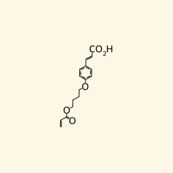 C=CC(=O)OCCCCOc1ccc(/C=C/C(=O)O)cc1